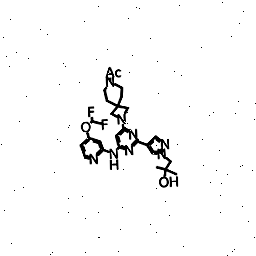 CC(=O)N1CCC2(CC1)CN(c1cc(Nc3cc(OC(F)F)ccn3)nc(-c3cnn(CC(C)(C)O)c3)n1)C2